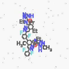 CC[C@H]1CC[C@@](CN(CC)C(=O)c2nnc[nH]2)(C(C)C)c2nnc(-c3c(F)ccc(C4C[C@@](CN(CC)C(=O)c5nnc(C)[nH]5)(C(C)C)c5nnc(-c6c(F)cccc6F)cc5[C@H]4C)c3F)cc21